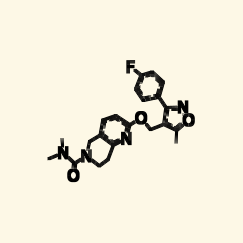 Cc1onc(-c2ccc(F)cc2)c1COc1ccc2c(n1)CCN(C(=O)N(C)C)C2